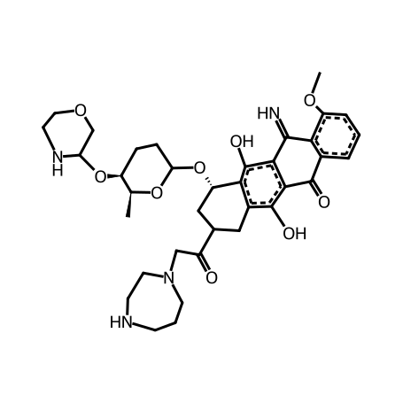 COc1cccc2c1C(=N)c1c(O)c3c(c(O)c1C2=O)CC(C(=O)CN1CCCNCC1)C[C@@H]3OC1CC[C@H](OC2COCCN2)[C@H](C)O1